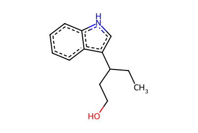 CCC(CCO)c1c[nH]c2ccccc12